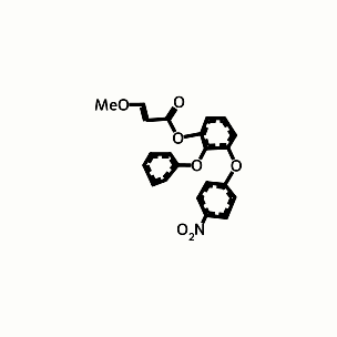 COC=CC(=O)Oc1cccc(Oc2ccc([N+](=O)[O-])cc2)c1Oc1ccccc1